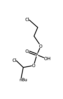 CCCCC(Cl)OP(=O)(O)OCCCl